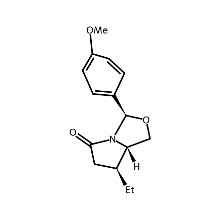 CC[C@H]1CC(=O)N2[C@@H](c3ccc(OC)cc3)OC[C@H]12